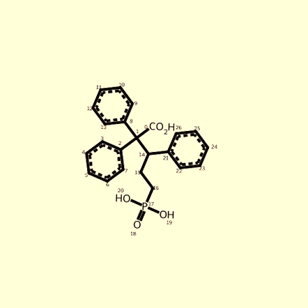 O=C(O)C(c1ccccc1)(c1ccccc1)C(CCP(=O)(O)O)c1ccccc1